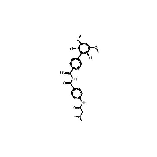 COc1cc(OC)c(Cl)c(-c2ccc(C(=N)NC(=O)c3ccc(NC(=O)CN(C)C)cc3)cc2)c1Cl